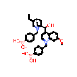 C=CC1C[N+]2(Cc3ccc(B(O)O)cc3)CCC1CC2C(O)c1cc[n+](Cc2ccc(B(O)O)cc2)c2cc(OC)ccc12